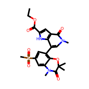 CCOC(=O)c1cc2c(=O)n(C)cc(-c3cc(S(C)(=O)=O)cc4c3OC(C)(C)C(=O)N4C)c2[nH]1